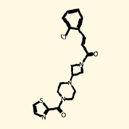 O=C(C=Cc1ccccc1Cl)N1CC(N2CCN(C(=O)c3nccs3)CC2)C1